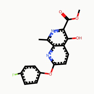 COC(=O)c1nc(C)c2nc(Oc3ccc(F)cc3)ccc2c1O